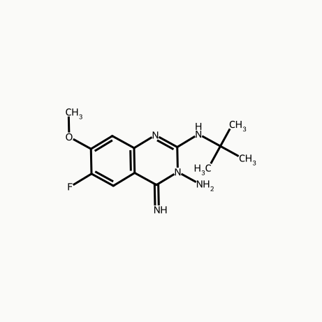 COc1cc2nc(NC(C)(C)C)n(N)c(=N)c2cc1F